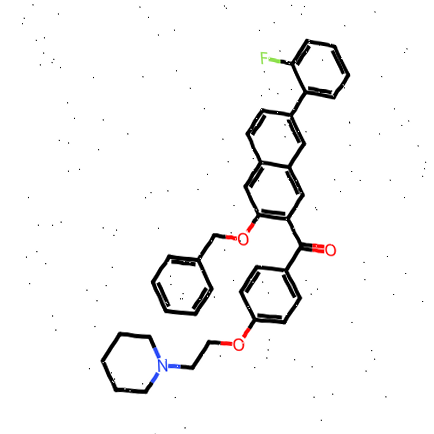 O=C(c1ccc(OCCN2CCCCC2)cc1)c1cc2cc(-c3ccccc3F)ccc2cc1OCc1ccccc1